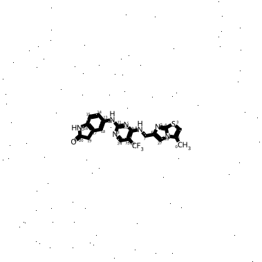 Cc1csc2nc(CNc3nc(Nc4ccc5c(c4)CC(=O)N5)ncc3C(F)(F)F)cn12